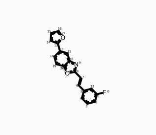 Fc1cccc(C=Cc2nc3cc(-c4ccco4)ccc3o2)c1